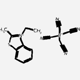 CC[n+]1c(C)sc2ccccc21.N#C[B-](C#N)(C#N)C#N